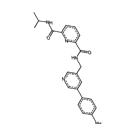 CC(C)NC(=O)c1cccc(C(=O)NCc2cncc(-c3ccc(N)cc3)c2)n1